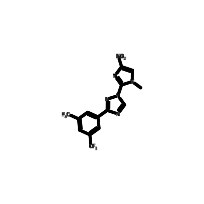 Cn1cc([N+](=O)[O-])nc1-n1cnc(-c2cc(C(F)(F)F)cc(C(F)(F)F)c2)n1